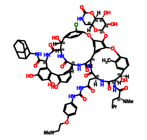 CNCCOc1ccc(NC(=O)NC(=O)C[C@@H]2NC(=O)[C@H](NC(=O)[C@@H](CC(C)C)NC)[C@H](O)c3ccc(c(C)c3)Oc3cc4cc(c3O[C@@H]3O[C@@H]5CNC(=O)O[C@H]5[C@H](O)[C@H]3O)Oc3ccc(cc3Cl)[C@@H](O)[C@@H]3NC(=O)[C@H](NC(=O)[C@@H]4NC2=O)c2ccc(O)c(c2)-c2c(O)cc(O)cc2[C@@H](C(=O)NC2C4CC5CC(C4)CC2C5)NC3=O)cc1